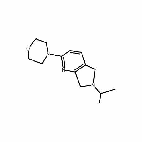 CC(C)N1Cc2ccc(N3CCOCC3)nc2C1